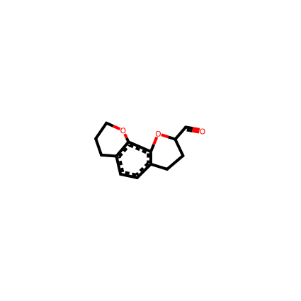 O=CC1CCc2ccc3c(c2O1)OCCC3